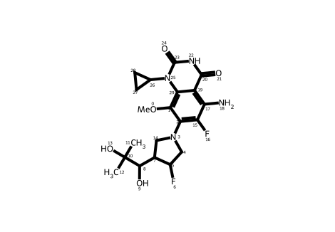 COc1c(N2CC(F)C(C(O)C(C)(C)O)C2)c(F)c(N)c2c(=O)[nH]c(=O)n(C3CC3)c12